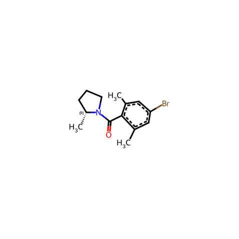 Cc1cc(Br)cc(C)c1C(=O)N1CCC[C@H]1C